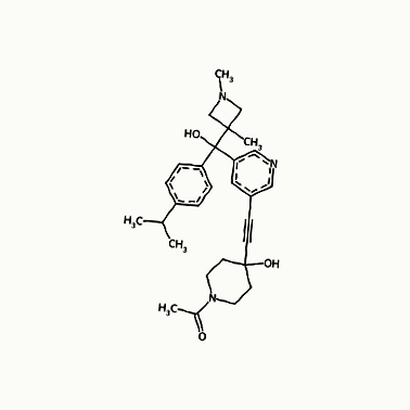 CC(=O)N1CCC(O)(C#Cc2cncc(C(O)(c3ccc(C(C)C)cc3)C3(C)CN(C)C3)c2)CC1